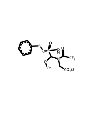 CCOC(=O)CN(C(=O)C(F)(F)F)C(OC(C)C)P(=O)(O)OSc1ccccc1